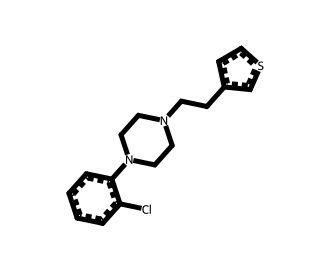 Clc1ccccc1N1CCN(CCc2ccsc2)CC1